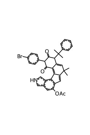 CC(=O)Oc1cc2c[nH]cc2c2c1C=C1C2=C2C(=O)C(c3ccc(Br)cc3)C(=O)C(C(C)(C)c3ccccc3)C2=CC1(C)C